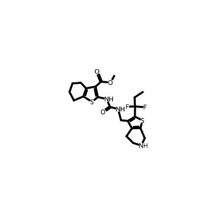 CCC(F)(F)c1sc2c(c1CNC(=O)Nc1sc3c(c1C(=O)OC)CCCC3)CCNC2